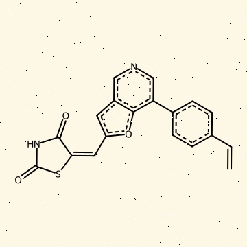 C=Cc1ccc(-c2cncc3cc(/C=C4/SC(=O)NC4=O)oc23)cc1